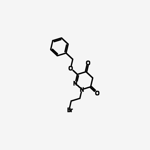 O=C1CC(=O)N(CCBr)N=C1OCc1ccccc1